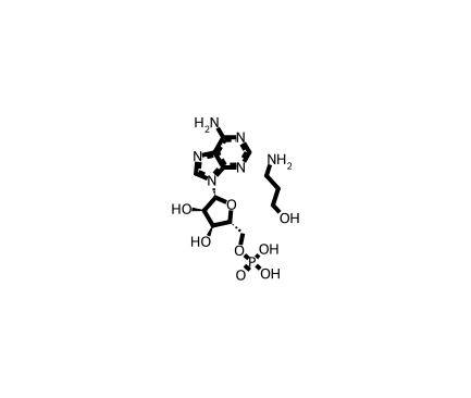 NCCCO.Nc1ncnc2c1ncn2[C@@H]1O[C@H](COP(=O)(O)O)[C@@H](O)[C@H]1O